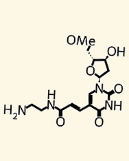 COC[C@H]1O[C@@H](n2cc(/C=C/C(=O)NCCN)c(=O)[nH]c2=O)C[C@@H]1O